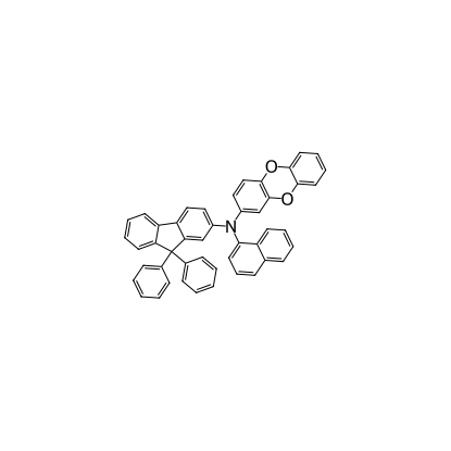 c1ccc(C2(c3ccccc3)c3ccccc3-c3ccc(N(c4ccc5c(c4)Oc4ccccc4O5)c4cccc5ccccc45)cc32)cc1